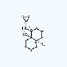 O[C@]12CCCC[C@@H]1CCCC2NC1CC1